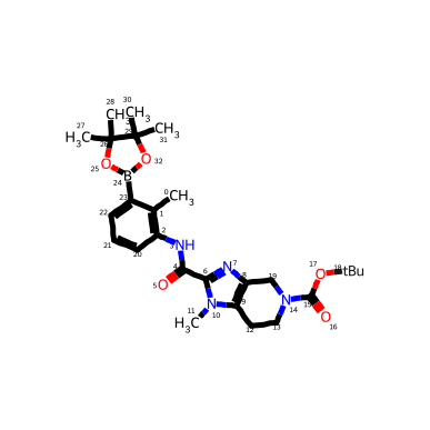 Cc1c(NC(=O)c2nc3c(n2C)CCN(C(=O)OC(C)(C)C)C3)cccc1B1OC(C)(C)C(C)(C)O1